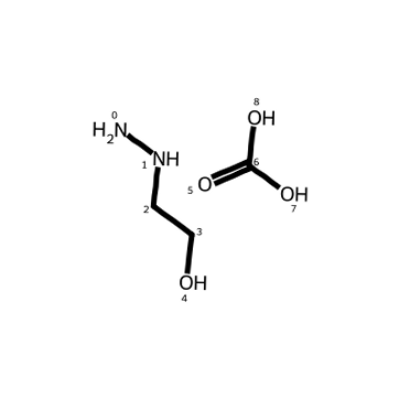 NNCCO.O=C(O)O